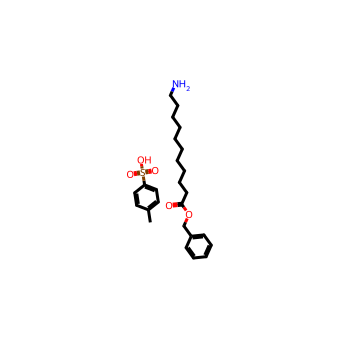 Cc1ccc(S(=O)(=O)O)cc1.NCCCCCCCCCCC(=O)OCc1ccccc1